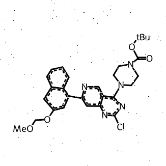 COCOc1cc(-c2cc3nc(Cl)nc(N4CCN(C(=O)OC(C)(C)C)CC4)c3cn2)c2ccccc2c1